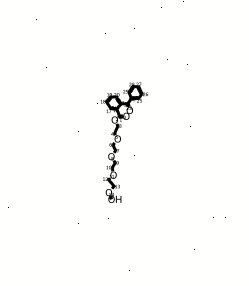 O=C(OCCOCCOCCOCCOO)c1ccccc1C(=O)c1ccccc1